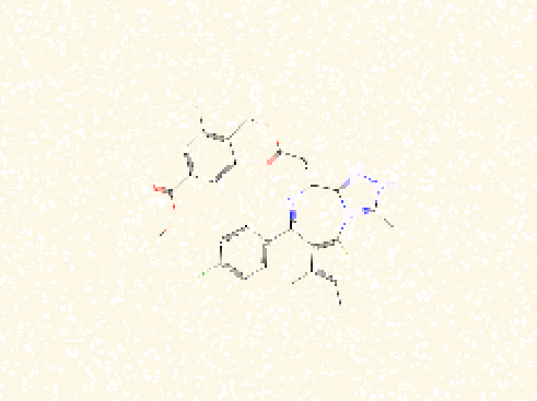 COC(=O)c1ccc([C@H](C)OC(=O)C[C@@H]2N=C(c3ccc(Cl)cc3)c3c(sc(C)c3C)-[n+]3c2n[nH]c3C)c(C)c1